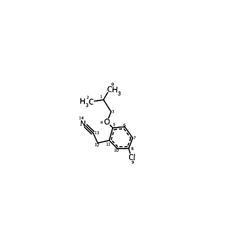 CC(C)COc1ccc(Cl)cc1CC#N